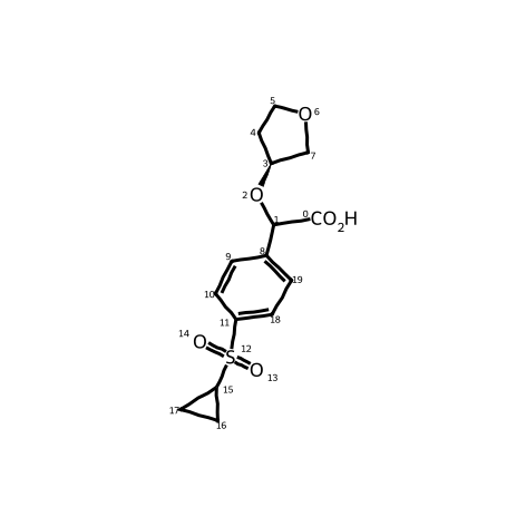 O=C(O)C(O[C@H]1CCOC1)c1ccc(S(=O)(=O)C2CC2)cc1